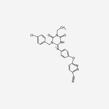 CCn1c(=O)[nH]/c(=N\c2ccc(Oc3ccc(C#N)nn3)cc2)n(Cc2ccc(Cl)cc2)c1=O